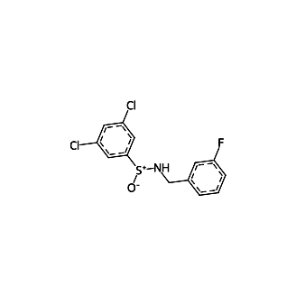 [O-][S+](NCc1cccc(F)c1)c1cc(Cl)cc(Cl)c1